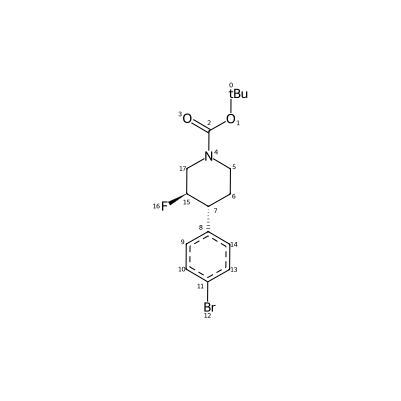 CC(C)(C)OC(=O)N1CC[C@H](c2ccc(Br)cc2)[C@@H](F)C1